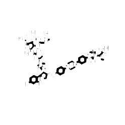 CC[C@@H]([C@H](C)O)n1ncn(-c2ccc(N3CCN(c4ccc(OC[C@@H]5CO[C@@](Cn6c[n+](C(C)OC(=O)NC7O[C@H](CO)[C@H](O)[C@H]7OC(=O)CNC)cn6)(c6ccc(F)cc6F)C5)cc4)CC3)cc2)c1=O